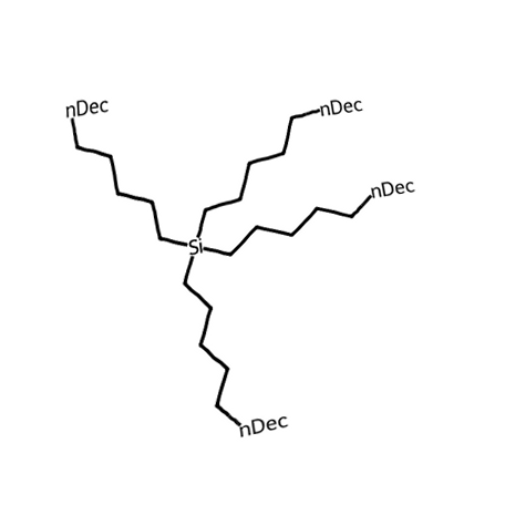 CCCCCCCCCCCCCCC[Si](CCCCCCCCCCCCCCC)(CCCCCCCCCCCCCCC)CCCCCCCCCCCCCCC